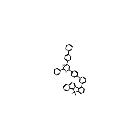 CC1(C)c2cccc(-c3cccc(-c4ccc(-c5cc(-c6ccc(-c7ccccn7)cc6)nc(-c6ccccc6)n5)cc4)c3)c2-c2ccc3ccccc3c21